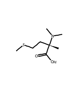 CSCC[C@@](C)(C(=O)O)N(C)C